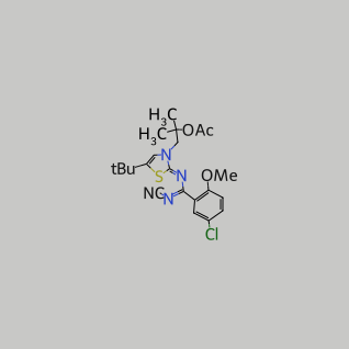 COc1ccc(Cl)cc1C(=NC#N)/N=c1\sc(C(C)(C)C)cn1CC(C)(C)OC(C)=O